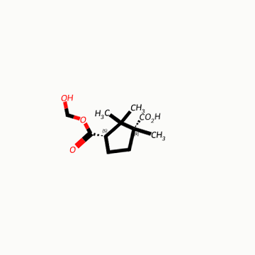 CC1(C)[C@@H](C(=O)OCO)CC[C@@]1(C)C(=O)O